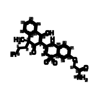 CC(C)CC[C@]1(C)C(=O)C(C2=NS(=O)(=O)c3cc(OCC(N)=O)ccc3N2)=C(O)c2ccccc21